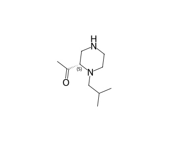 CC(=O)[C@@H]1CNCCN1CC(C)C